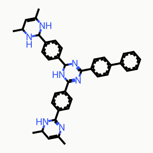 CC1=CC(C)NC(c2ccc(C3=NC(c4ccc(-c5ccccc5)cc4)=NC(c4ccc(C5NC(C)=CC(C)N5)cc4)N3)cc2)=N1